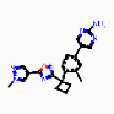 Cc1cc(-c2cnc(N)nc2)ccc1C1(c2noc(-c3cnn(C)c3)n2)CCC1